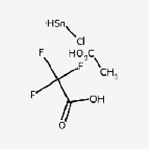 CC(=O)O.O=C(O)C(F)(F)F.[Cl][SnH]